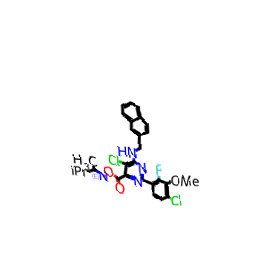 COc1c(Cl)ccc(-c2nc(NCc3ccc4ccccc4c3)c(Cl)c(C(=O)O/N=C(\C)C(C)C)n2)c1F